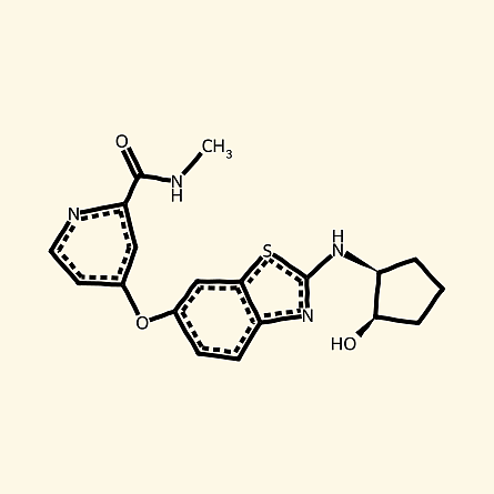 CNC(=O)c1cc(Oc2ccc3nc(N[C@H]4CCC[C@H]4O)sc3c2)ccn1